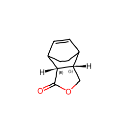 O=C1OC[C@H]2C3C=CC(CC3)[C@@H]12